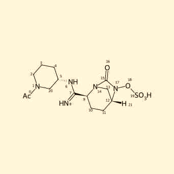 CC(=O)N1CCC[C@H](NC(=N)[C@@H]2CC[C@@H]3CN2C(=O)N3OS(=O)(=O)O)C1